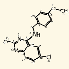 COc1ccc(CNc2nc(Cl)nc3ccc(Cl)cc23)cc1